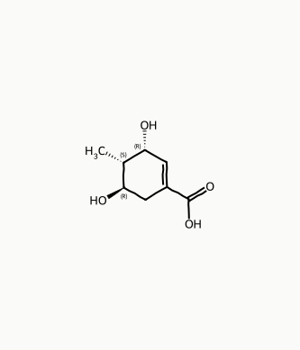 C[C@@H]1[C@H](O)C=C(C(=O)O)C[C@H]1O